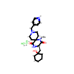 CCCCN1C(=O)[C@@H](CC2(O)CCCCC2)NC(=O)C12CCN(Cc1ccncc1)CC2.Cl.Cl